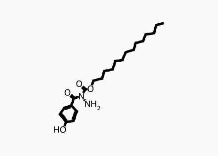 CCCCCCCCCCCCCCOC(=O)N(N)C(=O)c1ccc(O)cc1